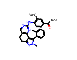 COC(=O)c1ccc(Nc2ncc3c(n2)-c2c(nn(C)c2-c2ccccc2C)CC3)c(OC)c1